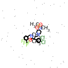 CN(Cc1ccc(F)c(C(F)(F)F)c1)C(=O)C(C)(CCN1CCC(N(C)S(C)(=O)=O)CC1)c1ccc(Cl)c(Cl)c1